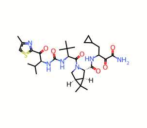 Cc1csc(C(=O)[C@@H](NC(=O)N[C@H](C(=O)N2C[C@H]3[C@@H]([C@H]2C(=O)NC(CC2CC2)C(=O)C(N)=O)C3(C)C)C(C)(C)C)C(C)C)n1